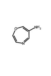 NC1=COC=CN=C1